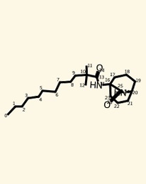 CCCCCCCCCCC(C)(C)C(=O)NC12CCCC(CCC1)NC2=O